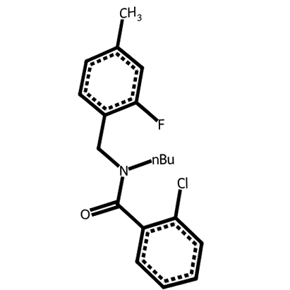 CCCCN(Cc1ccc(C)cc1F)C(=O)c1ccccc1Cl